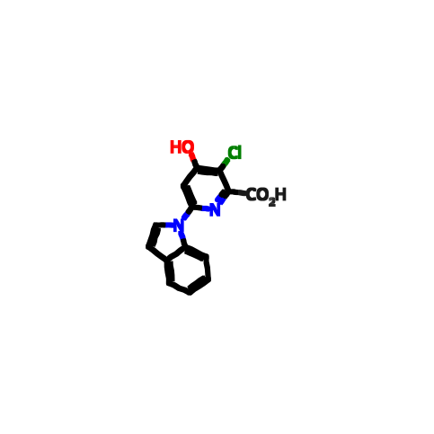 O=C(O)c1nc(-n2ccc3ccccc32)cc(O)c1Cl